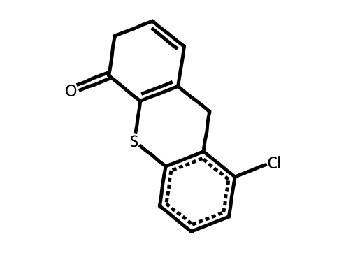 O=C1CC=CC2=C1Sc1cccc(Cl)c1C2